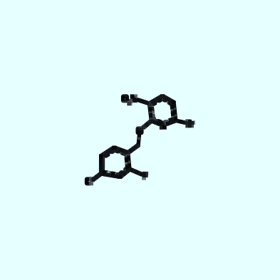 O=[N+]([O-])c1ccc(Br)nc1OCc1ccc(Cl)cc1F